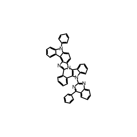 c1ccc(-c2nc(-n3c4ccccc4c4c3c3ccccc3c3nc5c6c7ccccc7n(-c7ccccc7)c6ccc5n34)nc3ccccc23)cc1